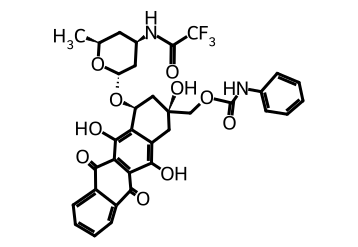 C[C@H]1C[C@@H](NC(=O)C(F)(F)F)C[C@H](O[C@H]2C[C@](O)(COC(=O)Nc3ccccc3)Cc3c(O)c4c(c(O)c32)C(=O)c2ccccc2C4=O)O1